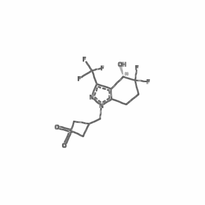 O=S1(=O)CC(Cn2nc(C(F)(F)F)c3c2CCC(F)(F)[C@H]3O)C1